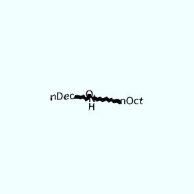 CCCCCCCCC=CCCCCCCCCNC(=O)CCCCCCCCCCCCCCC